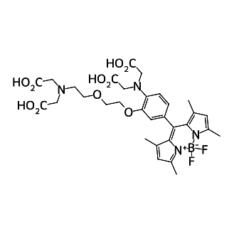 CC1=CC(C)=[N+]2C1=C(c1ccc(N(CC(=O)O)CC(=O)O)c(OCCOCCN(CC(=O)O)CC(=O)O)c1)c1c(C)cc(C)n1[B-]2(F)F